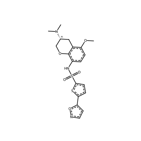 COc1ccc(NS(=O)(=O)c2ccc(-c3ccno3)s2)c2c1C[C@@H](N(C)C)CO2